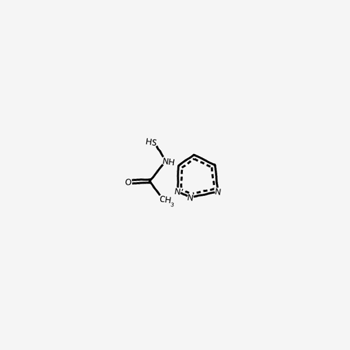 CC(=O)NS.c1cnnnc1